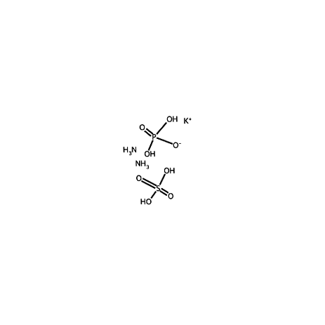 N.N.O=P([O-])(O)O.O=S(=O)(O)O.[K+]